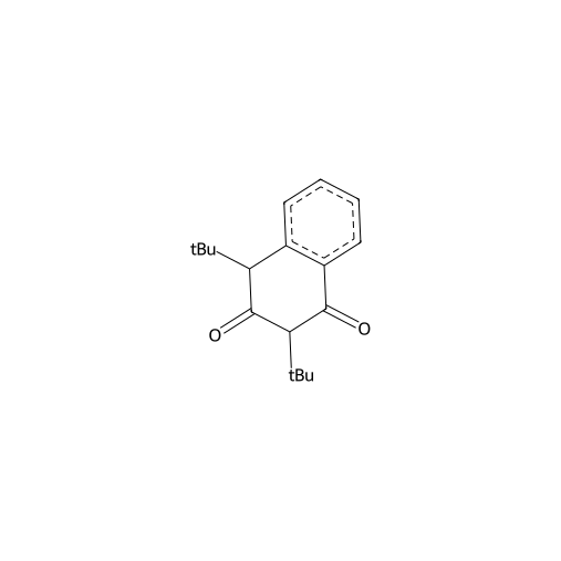 CC(C)(C)C1C(=O)c2ccccc2C(C(C)(C)C)C1=O